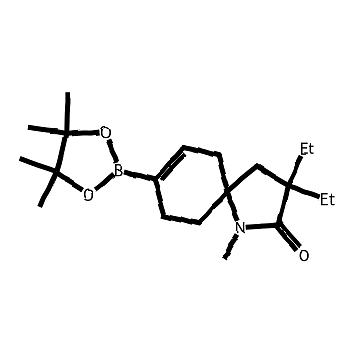 CCC1(CC)CC2(CC=C(B3OC(C)(C)C(C)(C)O3)CC2)N(C)C1=O